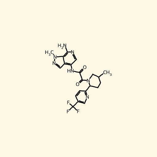 CC1CCC(c2ccc(C(F)(F)F)cn2)N(C(=O)C(=O)Nc2cnc(N)c3c2cnn3C)C1